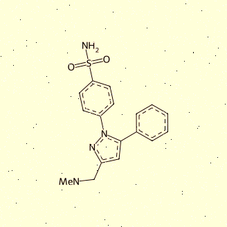 CNCc1cc(-c2ccccc2)n(-c2ccc(S(N)(=O)=O)cc2)n1